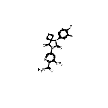 Cc1cc(N2C(=S)N(c3cnc(C(N)=O)c(C(F)(F)F)c3)C(=O)C23CCC3)ccc1F